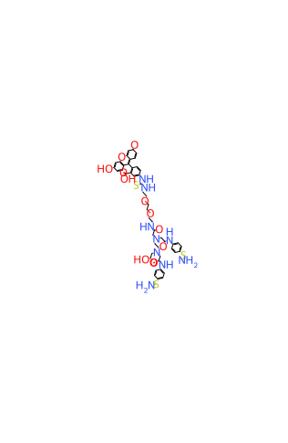 NSc1ccc(NC(=O)CN(CCN(CC(=O)NCCOCCOCCNC(=S)Nc2ccc(-c3c4ccc(=O)cc-4oc4cc(O)ccc34)c(C(=O)O)c2)CC(=O)Nc2ccc(SN)cc2)CC(=O)O)cc1